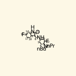 CCCCN(CCC)c1ccc(NC=C2C(=O)Nc3cc(F)ccc32)cc1F